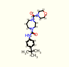 CC(C)(C)c1ccc(NC(=O)N2CCCN(C(=O)N3CCOCC3)CC2)cc1